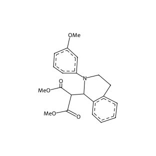 COC(=O)C(C(=O)OC)C1c2ccccc2CCN1c1cccc(OC)c1